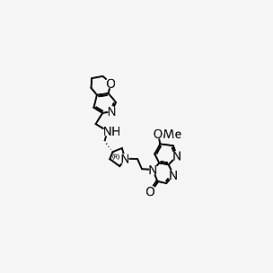 COc1cnc2ncc(=O)n(CCN3CC[C@H](CNCc4cc5c(cn4)OCCC5)C3)c2c1